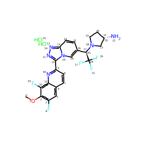 COc1c(F)cc2ccc(-c3nnc4ccc([C@@H](N5CC[C@H](N)C5)C(F)(F)F)cn34)nc2c1F.Cl.Cl